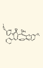 COc1ccc(-n2c(-c3ccccc3)cc3oc(=O)c(Sc4cccc(OC)c4)c(O)c3c2=O)cc1